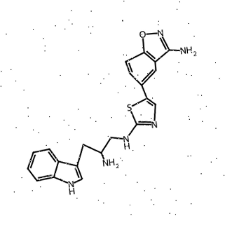 Nc1noc2ccc(-c3cnc(NCC(N)Cc4c[nH]c5ccccc45)s3)cc12